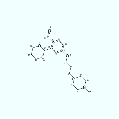 CN1CCC(CCCOc2ccc(C=O)c(C3OCCCO3)c2)CC1